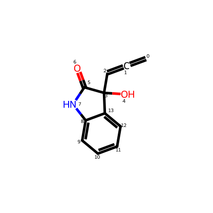 C=C=CC1(O)C(=O)Nc2ccccc21